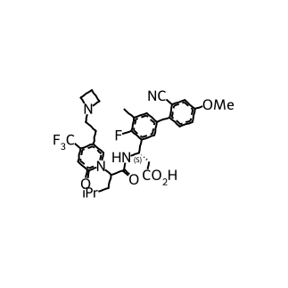 COc1ccc(-c2cc(C)c(F)c([C@H](CC(=O)O)NC(=O)C(CC(C)C)n3cc(CCN4CCC4)c(C(F)(F)F)cc3=O)c2)c(C#N)c1